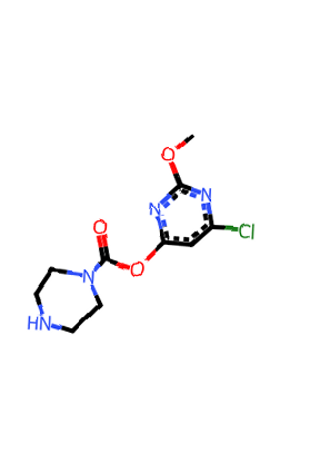 COc1nc(Cl)cc(OC(=O)N2CCNCC2)n1